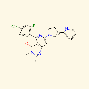 Cc1nc2cc(N3CC[C@@H](c4ccccn4)C3)nc(-c3ccc(Cl)cc3F)c2c(=O)n1C